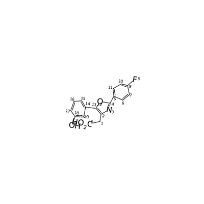 O=C(O)Cc1nc(-c2ccc(F)cc2)oc1-c1cccc(O)c1